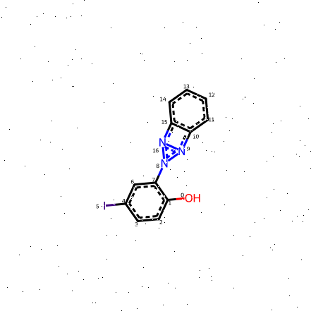 Oc1ccc(I)cc1-n1n2c3ccccc3n12